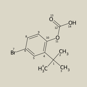 CC(C)(C)c1cc(Br)ccc1OC(=O)O